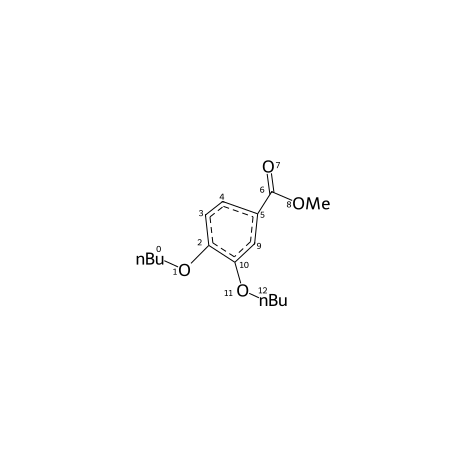 CCCCOc1ccc(C(=O)OC)cc1OCCCC